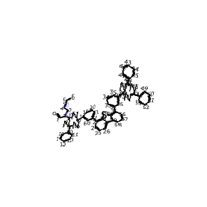 C=C/C(=C\C=C/C)c1nc(-c2ccccc2)nc(-c2cccc(-c3cccc4c3sc3c(-c5cccc(-c6nc(-c7ccccc7)nc(-c7ccccc7)n6)c5)cccc34)c2)n1